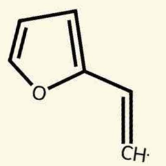 [CH]=Cc1ccco1